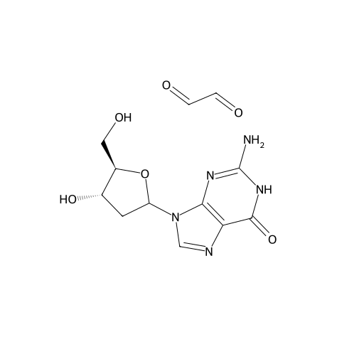 Nc1nc2c(ncn2C2C[C@H](O)[C@@H](CO)O2)c(=O)[nH]1.O=CC=O